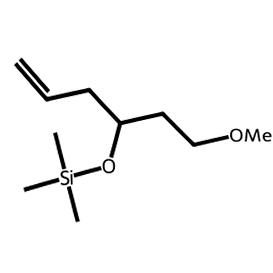 C=CCC(CCOC)O[Si](C)(C)C